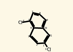 Clc1ccc2c(Cl)cccc2c1